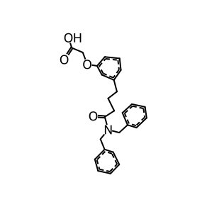 O=C(O)COc1cccc(CCCC(=O)N(Cc2ccccc2)Cc2ccccc2)c1